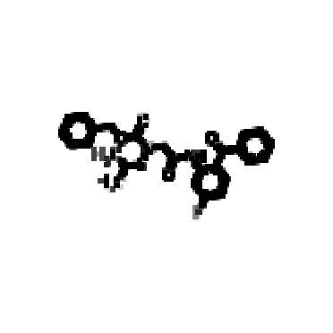 CC(C)SN(CC(=O)Nc1cc(F)ccc1C(=O)c1ccccc1)C(=O)OCc1ccccc1